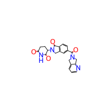 O=C1CCC(N2Cc3cc(C(=O)N4Cc5cccnc5C4)ccc3C2=O)C(=O)N1